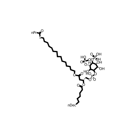 CCCCCCCCCCCCCCCC(=O)O[C@@H](COP(=O)(O)OC1C(O)[C@H](OP(=O)(O)O)C(OP(=O)(O)O)[C@H](O)[C@@H]1O)CC(=O)OCCCCCCCCCCCCCCCSC(=O)CCC